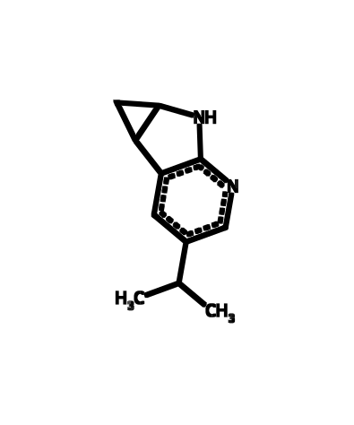 CC(C)c1cnc2c(c1)C1CC1N2